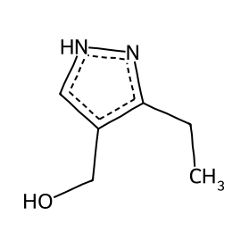 CCc1n[nH]cc1CO